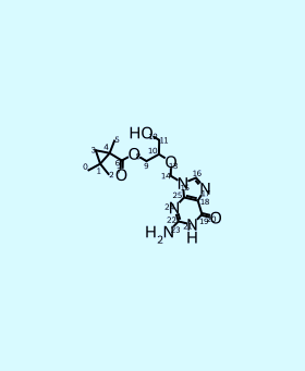 CC1(C)CC1(C)C(=O)OCC(CO)OCn1cnc2c(=O)[nH]c(N)nc21